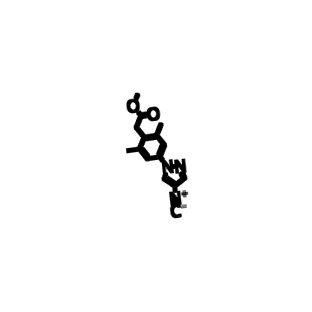 [C-]#[N+]c1cnn(-c2cc(C)c(CC(=O)OC)c(C)c2)c1